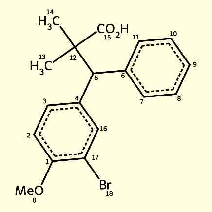 COc1ccc(C(c2ccccc2)C(C)(C)C(=O)O)cc1Br